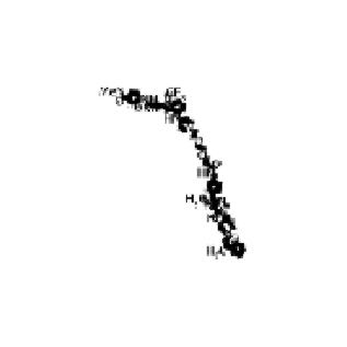 CNC(=O)c1ccc(NCC#Cc2cc3c(NC4CCN(CCOCCOCCC(=O)NCc5ccc(-c6c7ncn(CC8(O)CCN(C(=O)C[C@@H](C)c9ccccc9)CC8)c(=O)c7nn6C)cc5)CC4)cccc3n2CC(F)(F)F)c(OC)c1